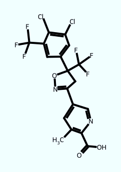 Cc1cc(C2=NOC(c3cc(Cl)c(Cl)c(C(F)(F)F)c3)(C(F)(F)F)C2)cnc1C(=O)O